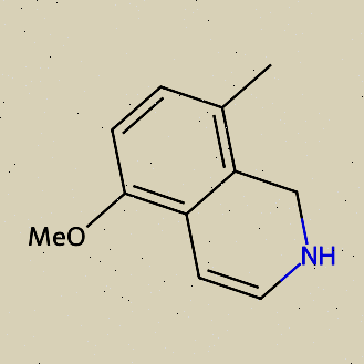 COc1ccc(C)c2c1C=CNC2